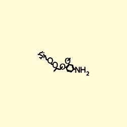 COc1cc(N)ccc1OCC(C)OCOCC[Si](C)(C)C